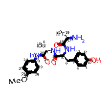 CC[C@H](C)[C@H](NC(=O)[C@H](Cc1ccc(O)cc1)NC(=O)[C@@H](N)C(C)C)C(=O)Nc1ccc(OC)cc1